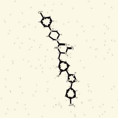 Cc1ccc(-c2nc(-c3ccc(CC(NC(=O)N4CCN(c5ccc(Cl)cc5)CC4)OC=O)cc3F)no2)cc1